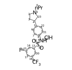 CCCN1CCC(c2ccc(NS(=O)(=O)c3cc(F)cc(C(F)(F)F)c3)cc2)C1.Cl